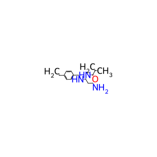 C=Cc1ccc(CNC(CCN)NC(=O)C(=C)C)cc1